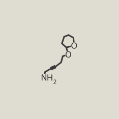 NCC#CCCOC1CCCCO1